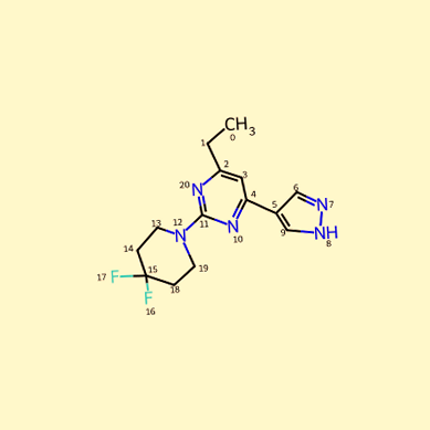 CCc1cc(-c2cn[nH]c2)nc(N2CCC(F)(F)CC2)n1